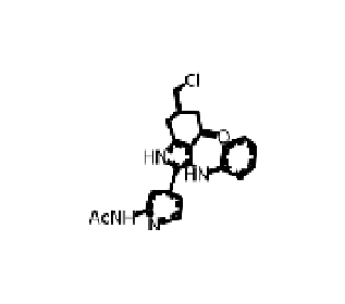 CC(=O)Nc1cc(-c2[nH]c3c(c2Nc2ccccc2)C(=O)CC(CCl)C3)ccn1